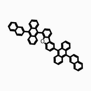 c1ccc2cc(-c3c4ccccc4c(-c4ccc5oc6c(-c7c8ccccc8c(-c8ccc9ccccc9c8)c8ccccc78)cccc6c5c4)c4ccccc34)ccc2c1